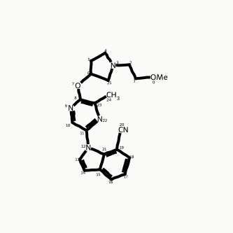 COCCN1CCC(Oc2ncc(-n3ccc4cccc(C#N)c43)nc2C)C1